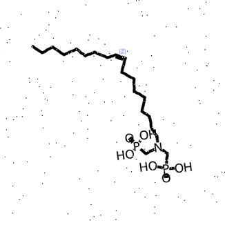 CCCCCCCC/C=C\CCCCCCCCN(CP(=O)(O)O)CP(=O)(O)O